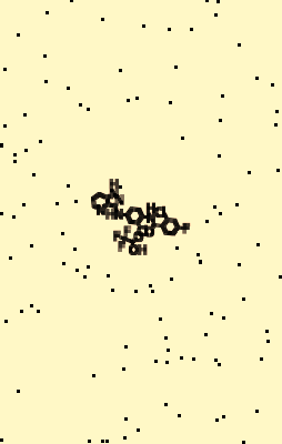 O=C(Nc1ccc(Nc2n[nH]c3cccnc23)cc1Cl)c1ccc(F)cc1Cl.O=C(O)C(F)(F)F